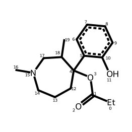 CCC(=O)OC1(c2ccccc2O)CCCN(C)CC1C